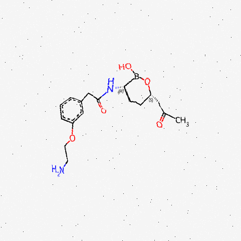 CC(=O)C[C@@H]1CC[C@H](NC(=O)Cc2cccc(OCCN)c2)B(O)O1